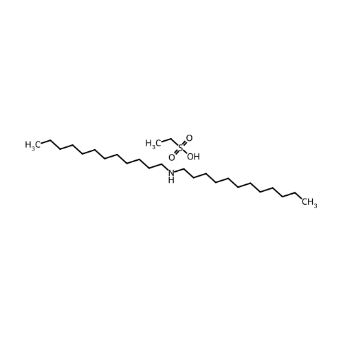 CCCCCCCCCCCCNCCCCCCCCCCCC.CCS(=O)(=O)O